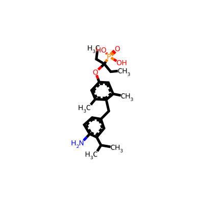 CCC(CC)(Oc1cc(C)c(Cc2ccc(N)c(C(C)C)c2)c(C)c1)P(=O)(O)O